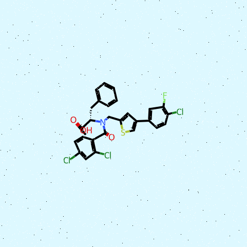 O=C(O)[C@H](Cc1ccccc1)N(Cc1cc(-c2ccc(Cl)c(F)c2)cs1)C(=O)c1ccc(Cl)cc1Cl